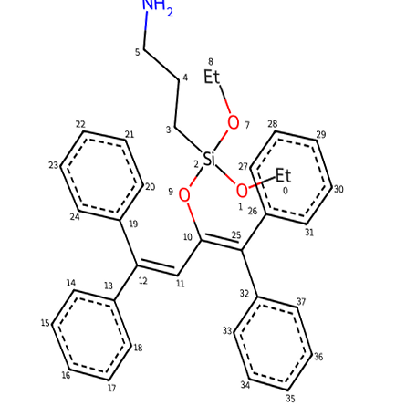 CCO[Si](CCCN)(OCC)OC(C=C(c1ccccc1)c1ccccc1)=C(c1ccccc1)c1ccccc1